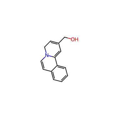 OCC1=CCN2C=Cc3ccccc3C2=C1